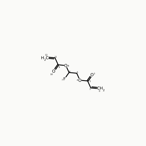 C=CC(=O)OCC(F)OC(=O)C=C